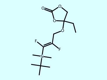 CCC1(OC/C(F)=C(\F)[Si](C)(C)C(C)(C)C)COC(=O)O1